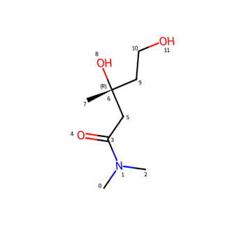 CN(C)C(=O)C[C@](C)(O)CCO